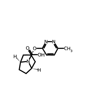 Cc1ccc(O[C@@H]2C[C@H]3CC[C@@H](C2)N3C(=O)O)nn1